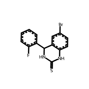 Fc1ccccc1C1NC(=S)Nc2ccc(Br)cc21